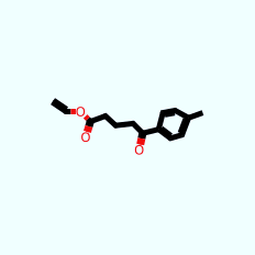 C=COC(=O)CCCC(=O)c1ccc(C)cc1